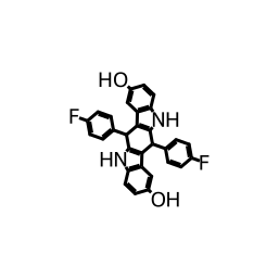 Oc1ccc2[nH]c3c(c2c1)C(c1ccc(F)cc1)c1[nH]c2ccc(O)cc2c1C3c1ccc(F)cc1